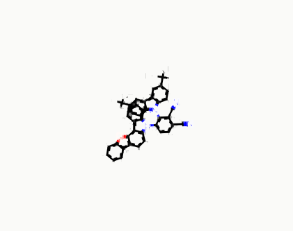 CC(C)(C)c1ccc2c(c1)c1cc(C(C)(C)C)ccc1n2-c1c(-n2c3ccccc3c3c4oc5ccccc5c4ccc32)ccc(C#N)c1C#N